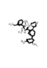 CCc1cccc(C(NC(=O)c2cc(-c3cc(C)cc(C)c3)ccc2-c2cnccn2)(OC)OC)c1